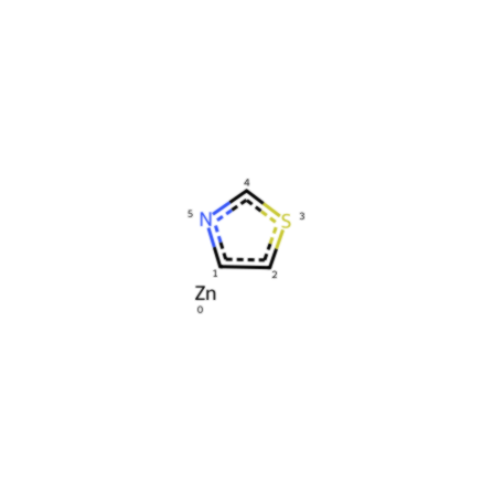 [Zn].c1cscn1